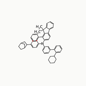 CC1(C)c2ccccc2-c2ccc(N(c3ccc(C4CC5CCC4C5)cc3)c3cccc(-c4ccccc4C4CCCCC4)c3)c(-c3ccccc3)c21